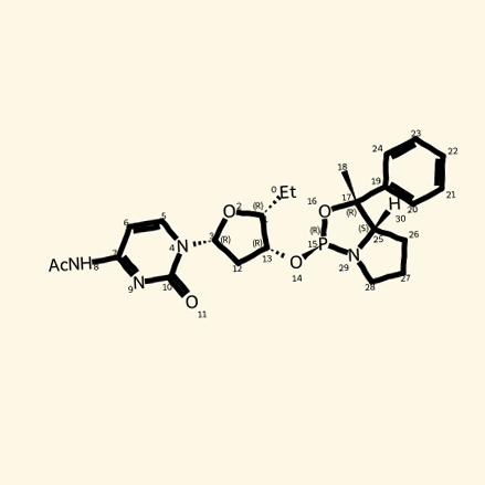 CC[C@H]1O[C@@H](n2ccc(NC(C)=O)nc2=O)C[C@H]1O[P@@]1O[C@](C)(c2ccccc2)[C@@H]2CCCN21